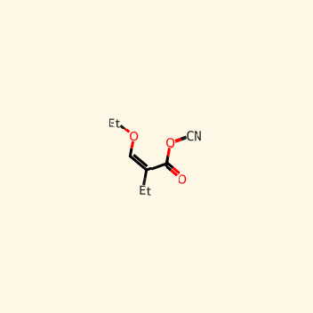 CCOC=C(CC)C(=O)OC#N